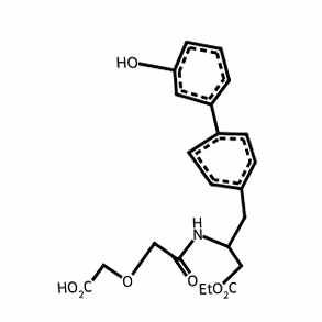 CCOC(=O)CC(Cc1ccc(-c2cccc(O)c2)cc1)NC(=O)COCC(=O)O